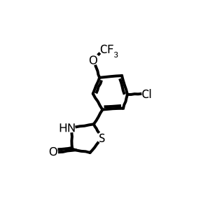 O=C1CSC(c2cc(Cl)cc(OC(F)(F)F)c2)N1